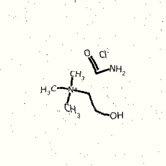 C[N+](C)(C)CCO.NC=O.[Cl-]